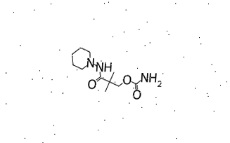 CC(C)(COC(N)=O)C(=O)NN1CCCCC1